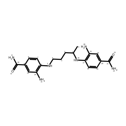 CC(CCCNc1ccc(C(N)=O)cc1N)Nc1ccc(C(N)=O)cc1N